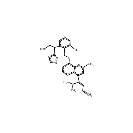 C=C/C=C(/c1cc(C)nc2c(OCc3c(Cl)cncc3C(COC(C)=O)c3nccs3)cccc12)N(C)C